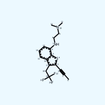 CC#Cc1sc2c(NCCN(C)C)cccc2c1CC(F)(F)F